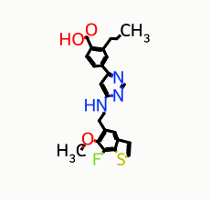 CCCc1cc(-c2cc(NCCc3cc4ccsc4c(F)c3OC)ncn2)ccc1C(=O)O